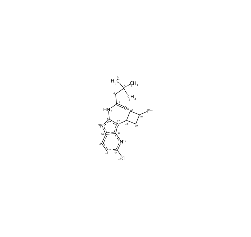 CC(C)(C)CC(=O)Nc1nc2ccc(Cl)nc2n1C1CC(F)C1